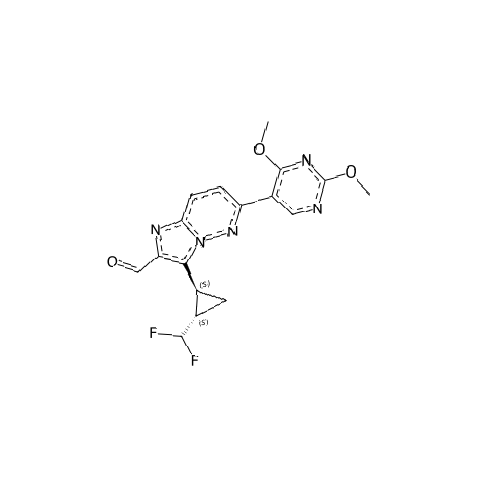 COc1ncc(-c2ccc3nc(C=O)c([C@H]4C[C@@H]4C(F)F)n3n2)c(OC)n1